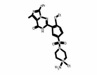 CCCc1nc(C)c2c(=O)[nH]c(-c3cc(S(=O)(=O)N4CC[N+](N)(CC)CC4)ccc3OCC)nn12